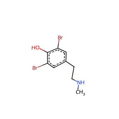 CNCCc1cc(Br)c(O)c(Br)c1